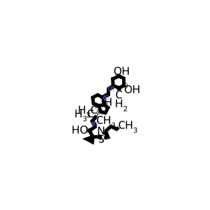 C=C1/C(=C\C=C2/CCC[C@]3(C)[C@@H](C(C)(C)/C=C/[C@H](O)C4(c5nc(CCC)cs5)CC4)CC[C@@H]23)C[C@@H](O)C[C@@H]1O